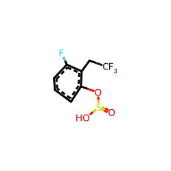 O=S(O)Oc1cccc(F)c1CC(F)(F)F